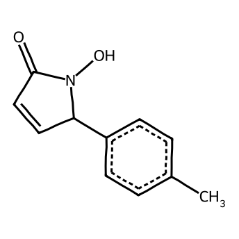 Cc1ccc(C2C=CC(=O)N2O)cc1